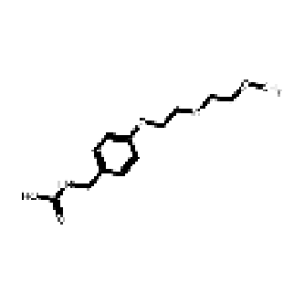 COCCOCCOc1ccc(CNC(=O)O)cc1